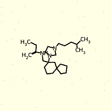 C=C(CC)NCC1(N2CCN(CCCC(C)C)C2)CCCC2(CCCC2)C1